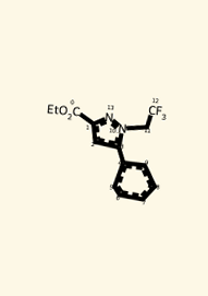 CCOC(=O)c1cc(-c2ccccc2)n(CC(F)(F)F)n1